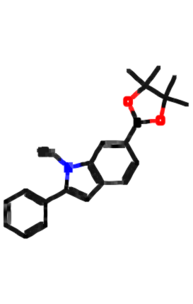 CC(C)(C)n1c(-c2ccccc2)cc2ccc(B3OC(C)(C)C(C)(C)O3)cc21